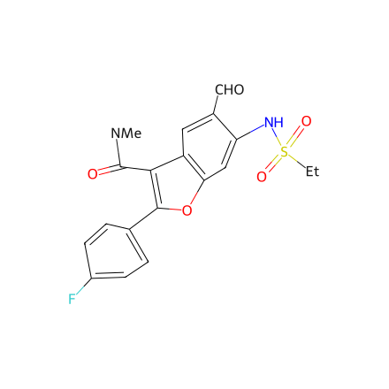 CCS(=O)(=O)Nc1cc2oc(-c3ccc(F)cc3)c(C(=O)NC)c2cc1C=O